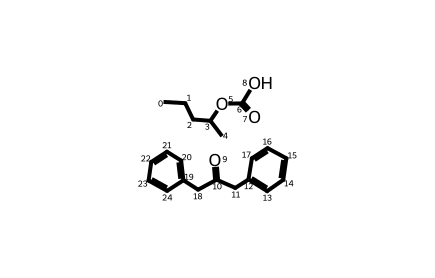 CCCC(C)OC(=O)O.O=C(Cc1ccccc1)Cc1ccccc1